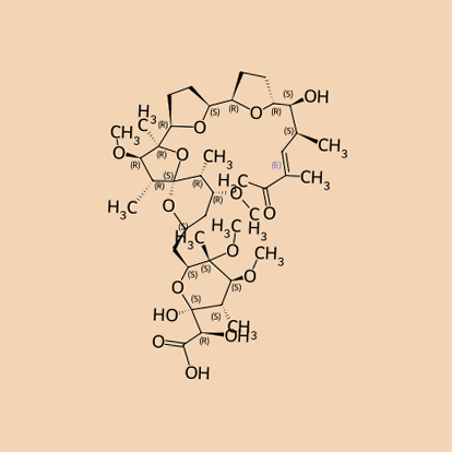 CO[C@@H]1[C@@H](C)[C@@]2(O[C@H](C[C@@H]3O[C@](O)([C@@H](O)C(=O)O)[C@@H](C)[C@H](OC)[C@@]3(C)OC)C[C@@H](OC)[C@H]2C)O[C@]1(C)[C@H]1CC[C@@H]([C@H]2CC[C@H]([C@@H](O)[C@@H](C)/C=C(\C)C(C)=O)O2)O1